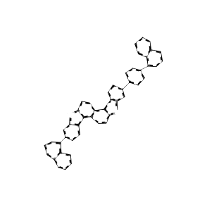 c1ccc2c(-c3ccc(-c4ccc5c(c4)oc4ccc6c(ccc7oc8cc(-c9cccc%10ccccc9%10)ccc8c76)c45)cc3)cccc2c1